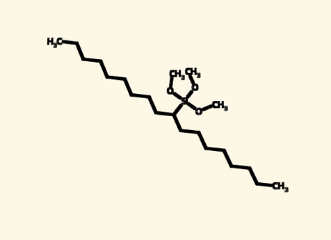 CCCCCCCCCC(CCCCCCCC)[Si](OC)(OC)OC